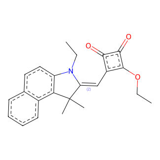 CCOc1c(/C=C2\N(CC)c3ccc4ccccc4c3C2(C)C)c(=O)c1=O